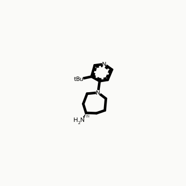 CC(C)(C)c1cnccc1N1CCC[C@H](N)CC1